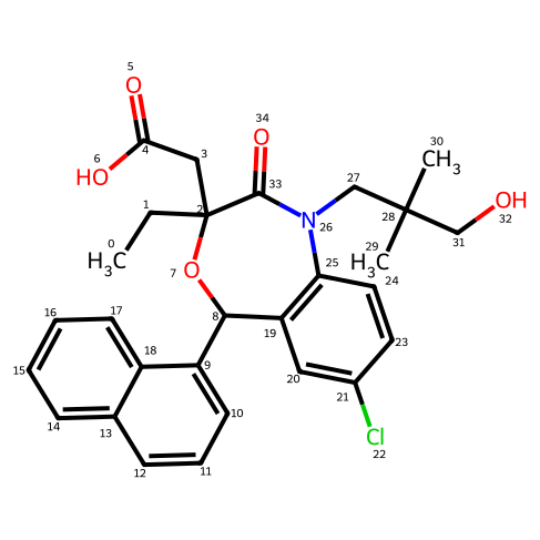 CCC1(CC(=O)O)OC(c2cccc3ccccc23)c2cc(Cl)ccc2N(CC(C)(C)CO)C1=O